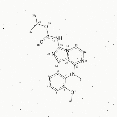 COc1ccccc1N(C)c1nccn2c(NC(=O)OC(C)C)nnc12